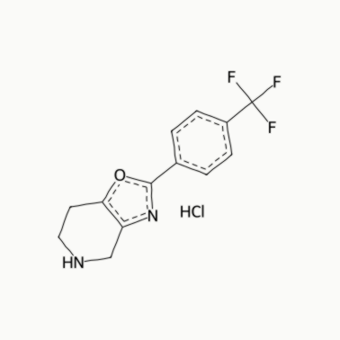 Cl.FC(F)(F)c1ccc(-c2nc3c(o2)CCNC3)cc1